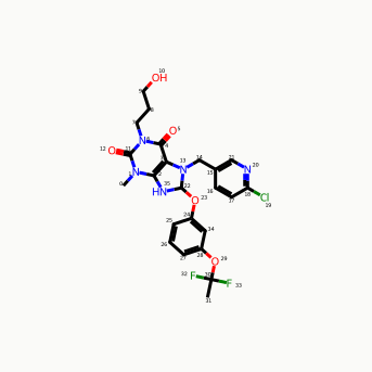 Cn1c2c(c(=O)n(CCCO)c1=O)N(Cc1ccc(Cl)nc1)C(Oc1cccc(OC(C)(F)F)c1)N2